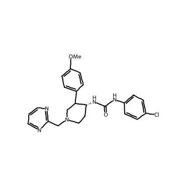 COc1ccc(C2CN(Cc3ncccn3)CC[C@H]2NC(=O)Nc2ccc(Cl)cc2)cc1